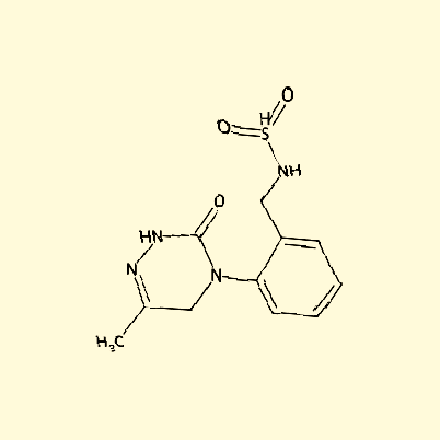 CC1=NNC(=O)N(c2ccccc2CN[SH](=O)=O)C1